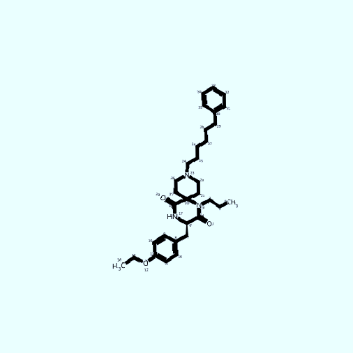 CCCN1C(=O)[C@@H](Cc2ccc(OCC)cc2)NC(=O)C12CCN(CCCCCCc1ccccc1)CC2